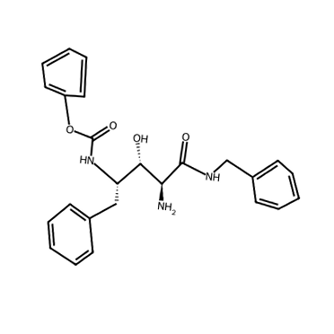 N[C@H](C(=O)NCc1ccccc1)[C@@H](O)[C@H](Cc1ccccc1)NC(=O)Oc1ccccc1